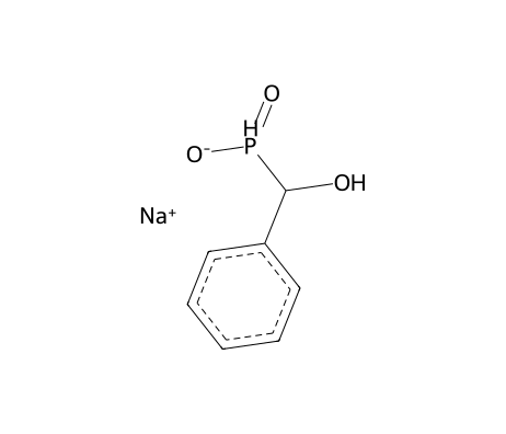 O=[PH]([O-])C(O)c1ccccc1.[Na+]